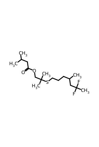 CC(C)CC(=O)OCC(C)(C)SCCCC(C)CC(C)(F)F